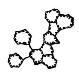 c1ccc(-c2cc3cccc4c5cc6c(cc5c(c2-c2ccccc2)c34)c2cccc3cccc6c32)cc1